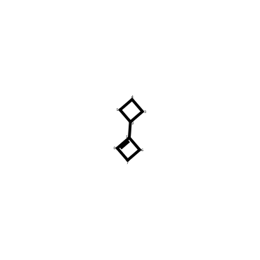 [C]1=C(C2CCC2)CC1